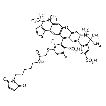 CN1c2cc3c(cc2-c2sccc2C1(C)C)C(c1c(F)c(SCC(=O)NCCCCCN2C(=O)C=CC2=O)cc(F)c1S(=O)(=O)O)=c1cc2c(cc1O3)=[N+](C)C(C)(C)c1cc(S(=O)(=O)O)sc1-2